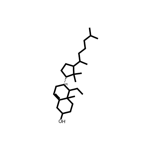 CCC1[C@@H](C2CCC(C(C)CCCC(C)C)C2(C)C)CC=C2CC(O)CCC21C